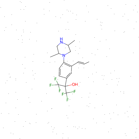 CC=Cc1cc(C(O)(C(F)(F)F)C(F)(F)F)ccc1N1CC(C)NCC1C